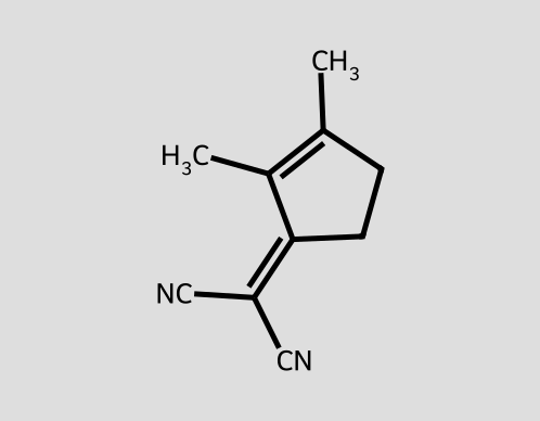 CC1=C(C)C(=C(C#N)C#N)CC1